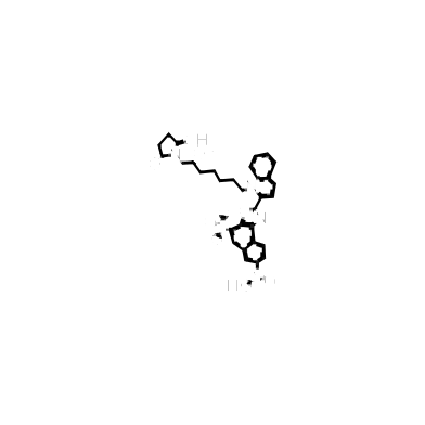 C=C1CCC(=O)N1CC(=O)CCCCC[n+]1c(-c2nc3c(o2)c(S(=O)(=O)O)cc2cc(S(=O)O)ccc23)ccc2ccccc21